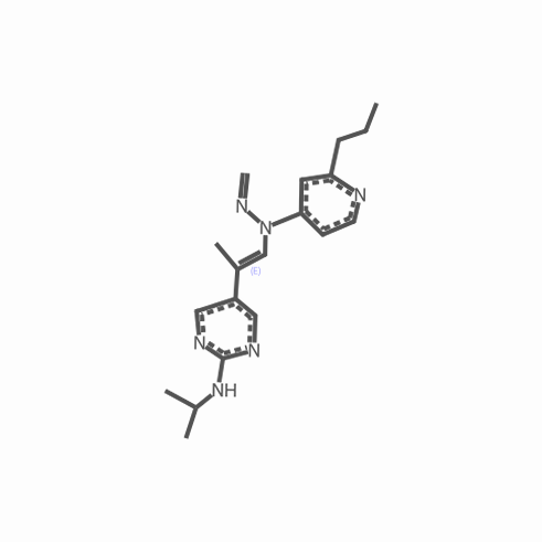 C=NN(/C=C(\C)c1cnc(NC(C)C)nc1)c1ccnc(CCC)c1